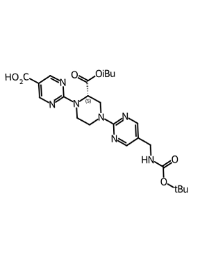 CC(C)COC(=O)[C@@H]1CN(c2ncc(CNC(=O)OC(C)(C)C)cn2)CCN1c1ncc(C(=O)O)cn1